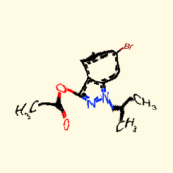 CC(=O)Oc1nn(C(C)C)c2cc(Br)ccc12